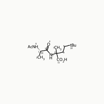 CC(=O)N[C@@H](C)C(=O)NC(C)(CCC(C)(C)C)C(=O)O